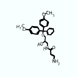 COc1ccc(C(OCC(O)CNC(=O)CCN)(c2ccccc2)c2ccc(OC)cc2)cc1